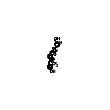 O=C1N=C(N2CCN[C@@H](CO)C2)SC1=Cc1ccc2c(cnn2Cc2ccc(O)cc2C(F)(F)F)c1